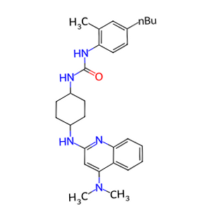 CCCCc1ccc(NC(=O)NC2CCC(Nc3cc(N(C)C)c4ccccc4n3)CC2)c(C)c1